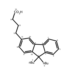 CCCCC1(CCCC)c2ccccc2-c2cc(CCCC(=O)O)ccc21